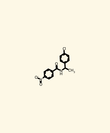 CC(NC(=O)c1ccc([N+](=O)[O-])cc1)c1ccc(Cl)cc1